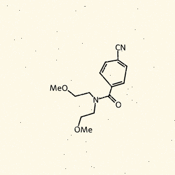 COCCN(CCOC)C(=O)c1ccc(C#N)cc1